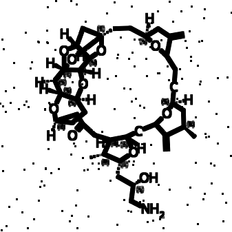 C=C1C[C@@H]2CC[C@@]34C[C@H]5O[C@H]6[C@@H](O3)[C@H]3O[C@H](CC[C@@H]3O[C@H]6[C@H]5O4)CC(=O)C[C@@H]3[C@@H](C)[C@@H](C[C@H](O)CN)O[C@H]3CC3O[C@@H](CCC1O2)C[C@@H](C)C3=C